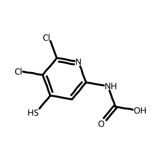 O=C(O)Nc1cc(S)c(Cl)c(Cl)n1